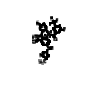 Cn1cc(Nc2cc(NC(=O)c3cc(F)cc(C(F)(F)F)c3)c3c(c2)C(=O)NC3c2cc(F)ccc2Cl)cn1